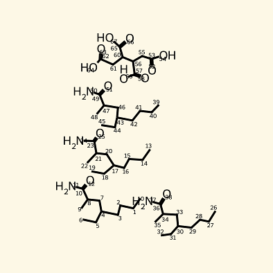 CCCCC(CC)CC(C)C(N)=O.CCCCC(CC)CC(C)C(N)=O.CCCCC(CC)CC(C)C(N)=O.CCCCC(CC)CC(C)C(N)=O.O=C(O)CC(C(=O)O)C(CC(=O)O)C(=O)O